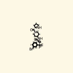 O=C([C@@H]1CCCN1)N1CCC(NS(=O)(=O)c2ccc(Br)cc2C(F)(F)F)CC1